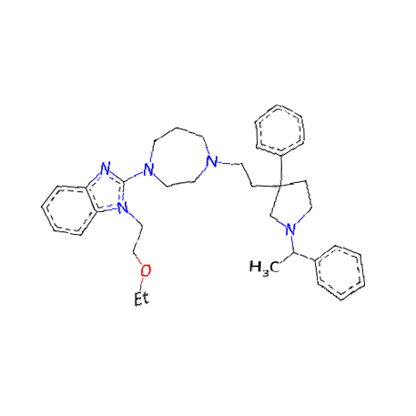 CCOCCn1c(N2CCCN(CCC3(c4ccccc4)CCN(C(C)c4ccccc4)C3)CC2)nc2ccccc21